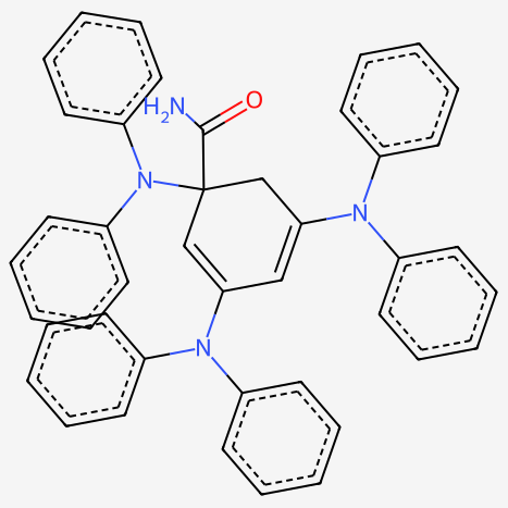 NC(=O)C1(N(c2ccccc2)c2ccccc2)C=C(N(c2ccccc2)c2ccccc2)C=C(N(c2ccccc2)c2ccccc2)C1